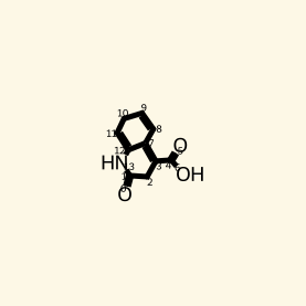 O=C1CC(C(=O)O)=C2C=CCC=C2N1